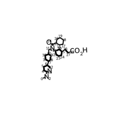 CN(C)c1ccc(-c2ccc(CN(C(=O)C3CCCCC3)c3cccc(C=CC(=O)O)c3)cc2)cn1